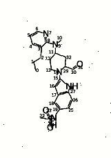 CCCc1cccnc1N(C)C1CCN(c2cc3cc(NS(C)(=O)=O)ccc3[nH]2)C(C=O)C1